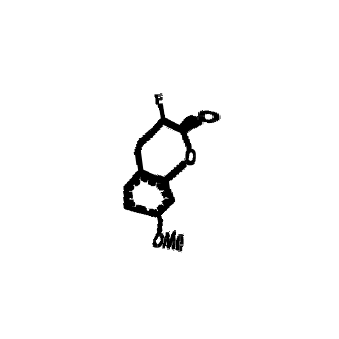 COc1ccc2c(c1)OC(=O)C(F)C2